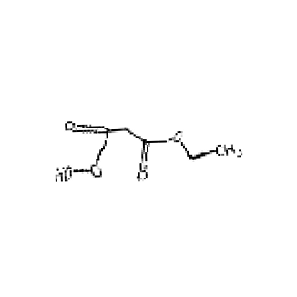 CCOC(=O)CC(=O)OO